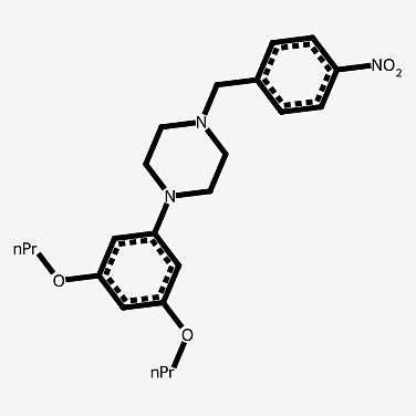 CCCOc1cc(OCCC)cc(N2CCN(Cc3ccc([N+](=O)[O-])cc3)CC2)c1